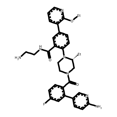 CCOc1ncccc1-c1ccc(N2CCN(C(=O)c3ccc(F)cc3-c3ccc(N)nc3)C[C@H]2CC)c(C(=O)NCCN)c1